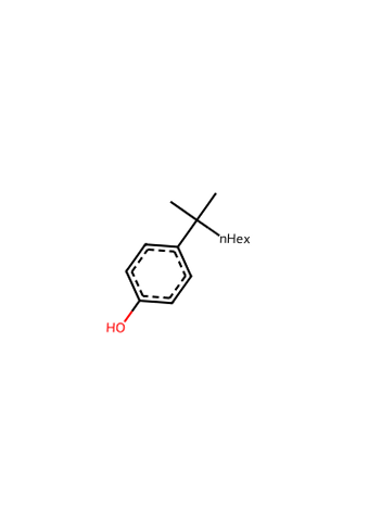 CCCCCCC(C)(C)c1ccc(O)cc1